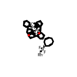 C1=C\CC/C=C\CC/1.F[B-](F)(F)F.[Rh].c1ccc([PH+](c2ccccc2)c2cc3ccc2CCc2ccc(c([PH+](c4ccccc4)c4ccccc4)c2)CC3)cc1